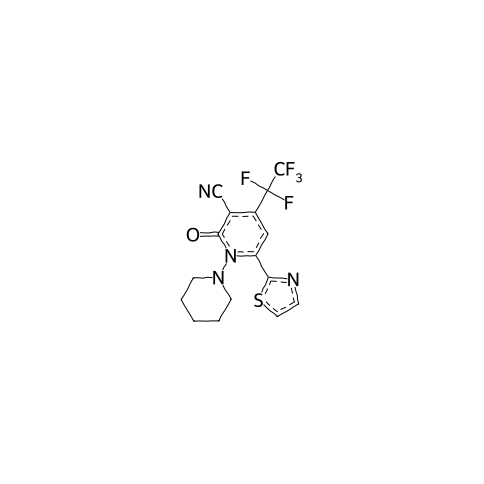 N#Cc1c(C(F)(F)C(F)(F)F)cc(-c2nccs2)n(N2CCCCC2)c1=O